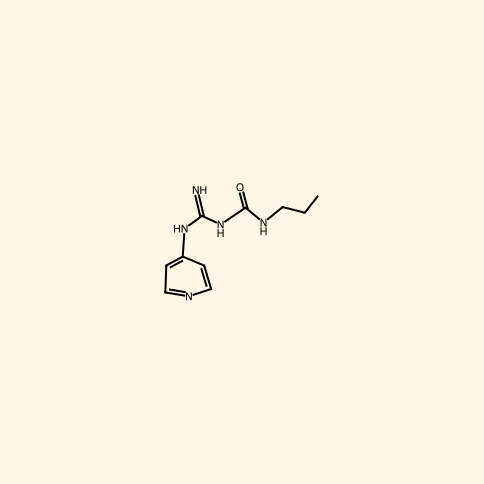 CCCNC(=O)NC(=N)Nc1ccncc1